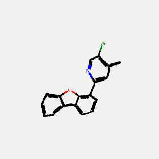 Cc1cc(-c2cccc3c2oc2ccccc23)ncc1Br